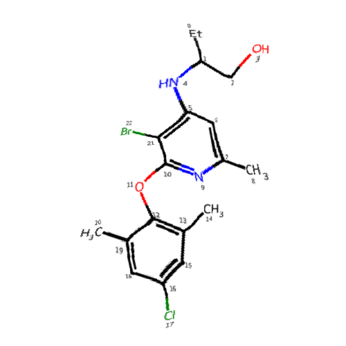 CCC(CO)Nc1cc(C)nc(Oc2c(C)cc(Cl)cc2C)c1Br